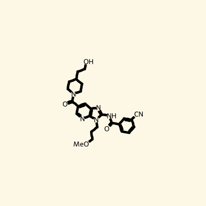 COCCCn1c(NC(=O)c2cccc(C#N)c2)nc2cc(C(=O)N3CCC(CCO)CC3)cnc21